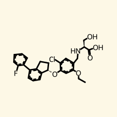 CCOc1cc(O[C@H]2CCc3c(-c4ccccc4F)cccc32)c(Cl)cc1CN[C@@H](CO)C(=O)O